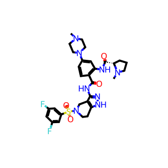 CN1CCN(c2ccc(C(=O)Nc3n[nH]c4c3CN(S(=O)(=O)c3cc(F)cc(F)c3)CC4)c(NC(=O)[C@@H]3CCCN3C)c2)CC1